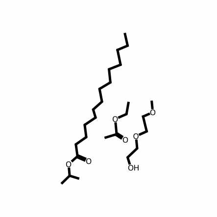 CCCCCCCCCCCCCC(=O)OC(C)C.CCOC(C)=O.COCCOCCO